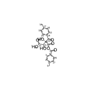 Cc1ccc(C(=O)OC(=O)C(O)(C(=O)c2ccc(C)cc2)C(O)C(=O)O)cc1